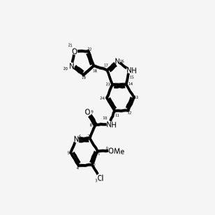 COc1c(Cl)ccnc1C(=O)Nc1ccc2[nH]nc(-c3cnoc3)c2c1